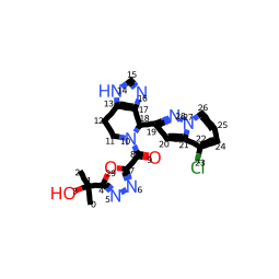 CC(C)(O)c1nnc(C(=O)N2CCc3[nH]cnc3C2c2cc3c(Cl)cccn3n2)o1